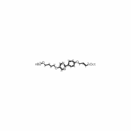 CCCCCCCCC=CCOc1ccc(-c2ncc(OCCCCOCCCC)cn2)cc1